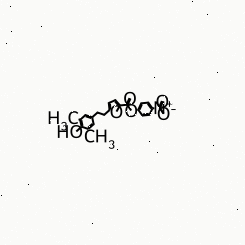 Cc1cc(CCc2ccc(C(=O)Oc3ccc([N+](=O)[O-])cc3)o2)cc(C)c1O